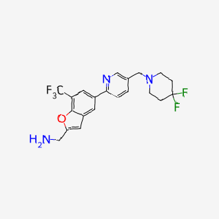 NCc1cc2cc(-c3ccc(CN4CCC(F)(F)CC4)cn3)cc(C(F)(F)F)c2o1